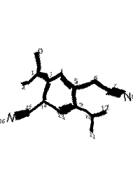 CC(C)c1cc(CC#N)c(C(C)C)cc1C#N